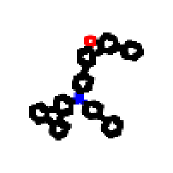 c1ccc(-c2ccc(N(c3ccc(-c4ccc5oc6ccc(-c7ccccc7)cc6c5c4)cc3)c3ccc4c5ccccc5c5ccccc5c4c3)cc2)cc1